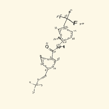 CC(C)(C)/C=C/c1ccc(C(=O)Nc2ccc(C(F)(F)F)cn2)cc1